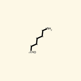 NCCC[CH]CC=O